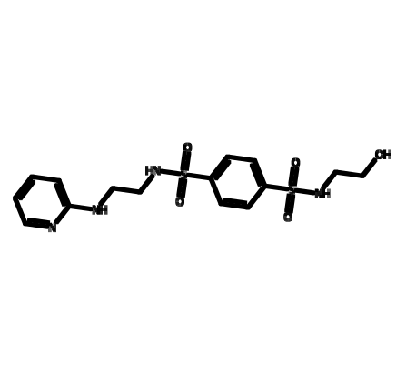 O=S(=O)(NCCO)c1ccc(S(=O)(=O)NCCNc2ccccn2)cc1